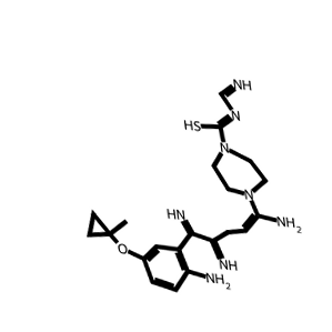 CC1(Oc2ccc(N)c(C(=N)C(=N)CC=C(N)N3CCN(/C(S)=N/C=N)CC3)c2)CC1